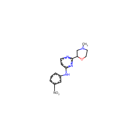 CN1CCOC(c2nccc(Nc3cccc([N+](=O)[O-])c3)n2)C1